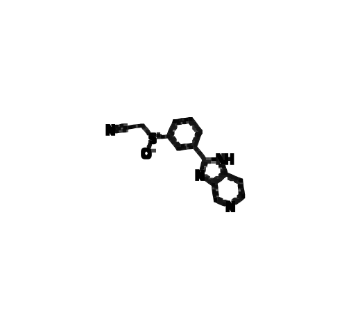 N#CC[S+]([O-])c1cccc(-c2nc3cnccc3[nH]2)c1